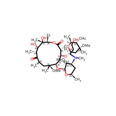 CC[C@H]1OC(=O)[C@H](C)[C@@H](O[C@H]2C[C@@](C)(OC)[C@@H](OC(C)=O)[C@H](C)O2)[C@H](C)[C@@H](O[C@@H]2O[C@H](C)C[C@H](N(C)CCCO)[C@H]2OC)[C@@](C)(OC)C[C@@H](C)C(=O)[C@H](C)[C@@H](O)[C@]1(C)O